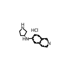 Cl.c1cc2cc(N[C@@H]3CCNC3)ccc2cn1